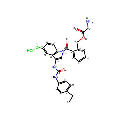 CCc1ccc(NC(=O)Nc2cn(C(=O)c3ccccc3COC(=O)CN)c3ccc(Cl)cc23)cc1.Cl